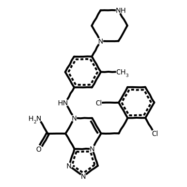 Cc1cc(NN2C=C(Cc3c(Cl)cccc3Cl)n3cnnc3C2C(N)=O)ccc1N1CCNCC1